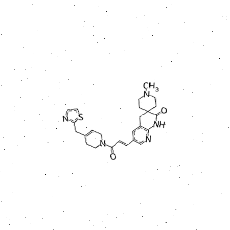 CN1CCC2(CC1)Cc1cc(C=CC(=O)N3CC=C(Cc4nccs4)CC3)cnc1NC2=O